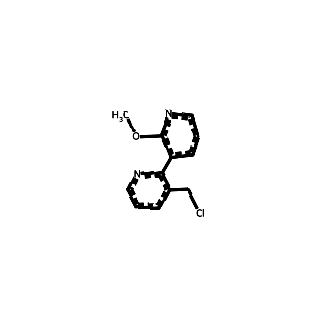 COc1ncccc1-c1ncccc1CCl